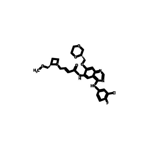 COC[C@@H]1CCN1C/C=C/C(=O)Nc1cc2c(Nc3ccc(F)c(Cl)c3)ncnc2cc1OC[C@H]1COCCO1